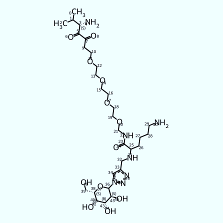 CC(C)[C@H](N)C(=O)C(=O)CCOCCOCCOCCOCNC(=O)C(CCCCN)NCc1cn(C2O[C@@H](CO)[C@@H](O)[C@@H](O)[C@@H]2O)nn1